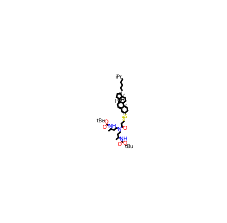 CC(C)CCCCC[C@H]1CC[C@H]2[C@@H]3CC=C4C[C@@H](SSCCC(=O)N(CCC(C)NC(=O)OC(C)(C)C)CCC(C)NC(=O)OC(C)(C)C)CC[C@]4(C)C3CC[C@]12C